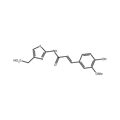 COc1cc(/C=C/C(=O)Nc2nc(CC(=O)O)cs2)ccc1O